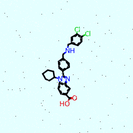 O=C(O)c1ccc2c(c1)nc(-c1ccc(CNCc3ccc(Cl)c(Cl)c3)cc1)n2C1CCCCC1